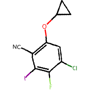 N#Cc1c(OC2CC2)cc(Cl)c(F)c1I